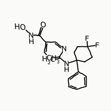 C=C(/N=C\C(=C/C)C(=O)NO)NC1(c2ccccc2)CCC(F)(F)CC1